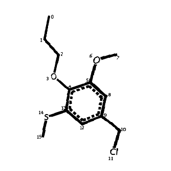 CCCOc1c(OC)cc(CCl)cc1SC